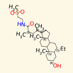 CC[C@H]1CC2C(CC[C@@]3(C)C2CC[C@@H]3[C@H](C)C[C@H](C)C(=O)NCCS(C)(=O)=O)[C@@]2(C)CC[C@@H](O)CC12